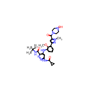 BC(B)(B)NC(=O)c1nnc(NC(=O)C2CC2)cc1Nc1cccc(-c2cc(C(=O)N3CCN(O)CC3)n(C)n2)c1OC